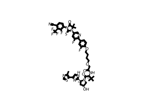 Cc1ncsc1-c1c[nH]c([C@@H]2C[C@@H](O)CN2C(=O)[C@@H](NC(=O)COCCCCOc2ccc(-c3ncc(N4C(=S)N(c5ccc(C#N)c(C(F)(F)F)c5F)C(=O)C4(C)C)cc3F)cc2F)C(C)(C)C)n1